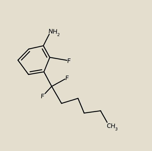 CCCCCC(F)(F)c1cccc(N)c1F